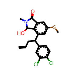 C=CCC(c1ccc(Cl)c(Cl)c1)c1cc(SC)cc2c1C(O)N(C)C2=O